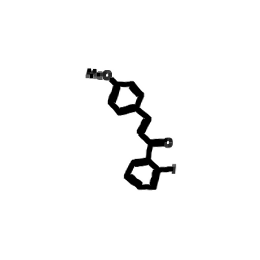 COc1ccc(/C=C/C(=O)c2ccccc2I)cc1